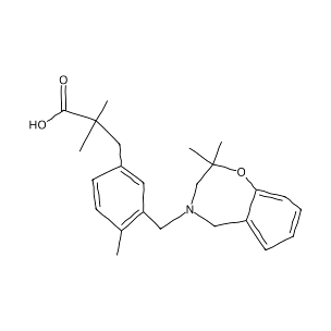 Cc1ccc(CC(C)(C)C(=O)O)cc1CN1Cc2ccccc2OC(C)(C)C1